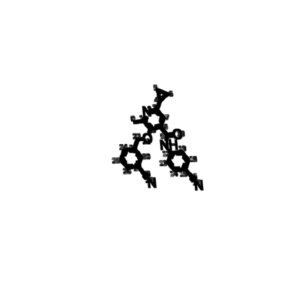 Cc1nc(C2CC2)cc(C(=O)Nc2ccc(C#N)cc2)c1OCc1cccc(C#N)c1